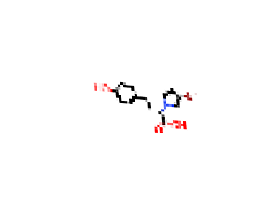 O=C(O)[C@H](CCc1ccc(O)cc1)n1ccc(Br)c1